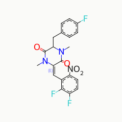 CN1C(=O)C(Cc2ccc(F)cc2)N(C)C(=O)/C1=C\c1c([N+](=O)[O-])ccc(F)c1F